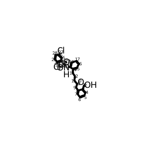 O=C(O)c1ccccc1CCCCCc1ccccc1NS(=O)(=O)c1cc(Cl)ccc1Cl